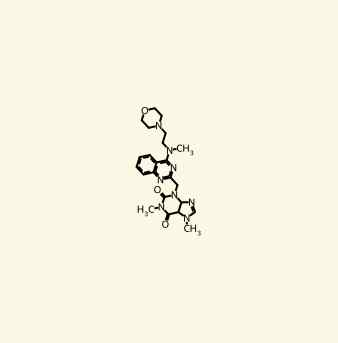 CN1C(=O)C2C(N=CN2C)N(Cc2nc(N(C)CCN3CCOCC3)c3ccccc3n2)C1=O